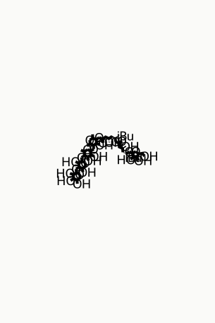 CC[C@H](C)[C@H](C[C@H](O)CC(=O)OC1C(C)OC(C)C(OC2OC(C)C(OC3OCC(O)C(OC4OCC(O)C(O)C4O)C3O)C(O)C2O)C1O)OC(=O)C[C@@H](O)C[C@H](OC1OC(CO)C(O)C1O)[C@@H](C)CC